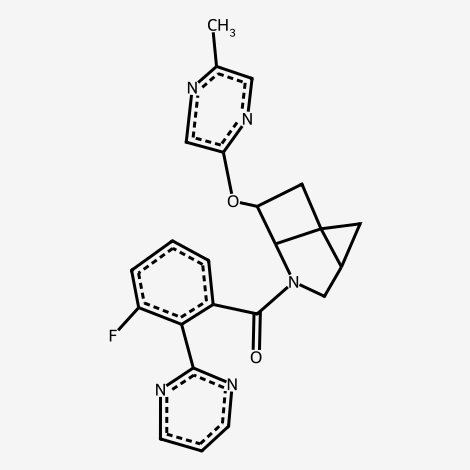 Cc1cnc(OC2CC34CC3CN(C(=O)c3cccc(F)c3-c3ncccn3)C24)cn1